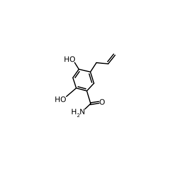 C=CCc1cc(C(N)=O)c(O)cc1O